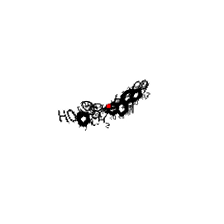 Cc1ccc(O)cc1S(=O)(=O)OCCC[C@]12CCC(=O)C=C1CC[C@@H]1[C@@H]2CC[C@]2(C)C(=O)CC[C@@H]12